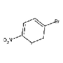 O=[N+]([O-])C1=CC=C(Br)C[CH]1